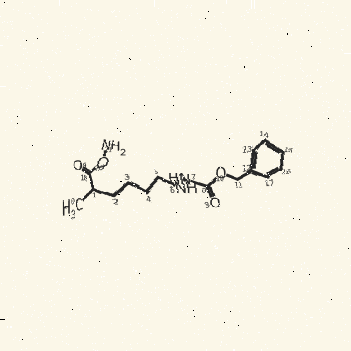 CC(CCCCNNC(=O)OCc1ccccc1)C(=O)ON